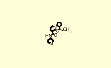 CC[C@H](Oc1ncccc1C(=O)Nc1ccncc1)C1CCCC1